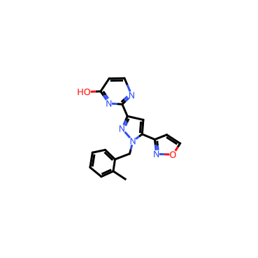 Cc1ccccc1Cn1nc(-c2nccc(O)n2)cc1-c1ccon1